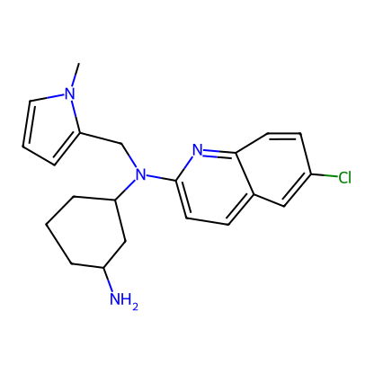 Cn1cccc1CN(c1ccc2cc(Cl)ccc2n1)C1CCCC(N)C1